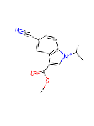 COC(=O)c1cn(C(C)C)c2ccc(C#N)cc12